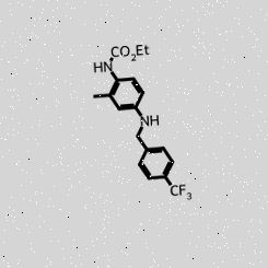 CCOC(=O)Nc1ccc(NCc2ccc(C(F)(F)F)cc2)cc1C